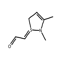 CC1=CCS(=CC=O)N1C